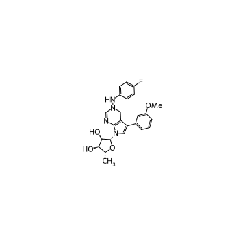 COc1cccc(-c2cn([C@@H]3O[C@H](C)[C@@H](O)[C@H]3O)c3c2CN(Nc2ccc(F)cc2)C=N3)c1